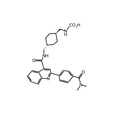 CN(C)C(=O)c1ccc(-c2cc(C(=O)NC[C@H]3CC[C@H](CNC(=O)O)CC3)c3ccccc3n2)cc1